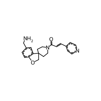 NCc1ccc2c(c1)C1(CCN(C(=O)C=Cc3ccncc3)CC1)CO2